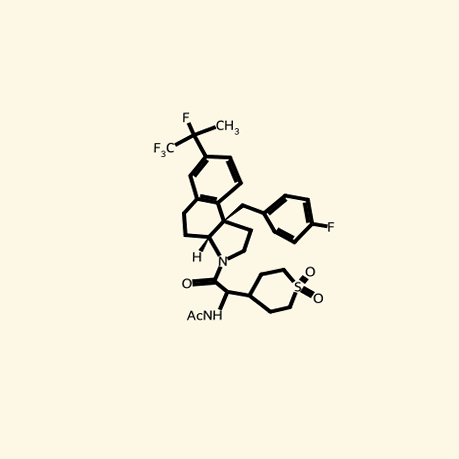 CC(=O)NC(C(=O)N1CC[C@@]2(Cc3ccc(F)cc3)c3ccc(C(C)(F)C(F)(F)F)cc3CC[C@@H]12)C1CCS(=O)(=O)CC1